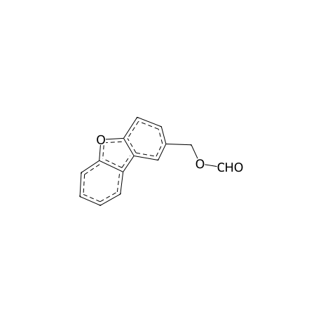 O=COCc1ccc2oc3ccccc3c2c1